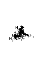 C=C(COc1ccc(F)cc1C(=C)C)NCCN(C)c1cc(NCC2(C)CC2)nc2cc(C(C)CCCCC)nn12